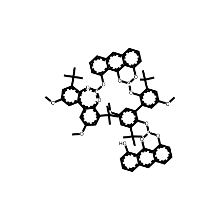 COc1cc(-c2cc(OC)cc(C(C)(C)C)c2OP2Oc3cccc4cc5cccc(Op6oc7c(C(C)(C)C)cc(OC)cc7c7cc(OC)cc(C(C)(C)C)c7o6)c5c(c34)O2)c(OP2Oc3cccc4cc5cccc(O)c5c(c34)O2)c(C(C)(C)C)c1